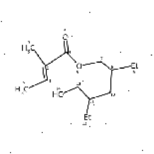 CC=C(C)C(=O)OCC(CC)CC(CC)CO